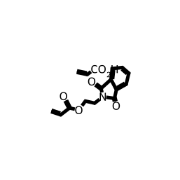 C=CC(=O)O.C=CC(=O)OCCN1C(=O)c2ccccc2C1=O